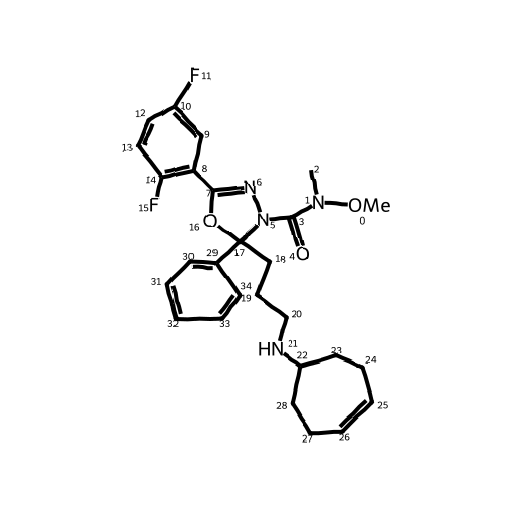 CON(C)C(=O)N1N=C(c2cc(F)ccc2F)OC1(CCCNC1CCC=CCC1)c1ccccc1